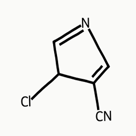 N#CC1=CN=CC1Cl